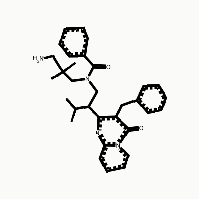 CC(C)C(CN(CC(C)(C)CN)C(=O)c1ccccc1)c1nc2ccccn2c(=O)c1Cc1ccccc1